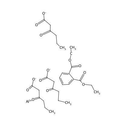 CCCC(=O)CC(=O)[O-].CCCC(=O)CC(=O)[O-].CCCC(=O)CC(=O)[O-].CCOC(=O)c1ccccc1C(=O)OCC.[Al+3]